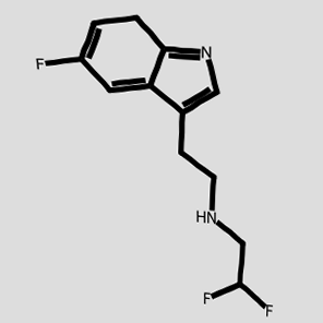 FC1=CCC2=NC=C(CCNCC(F)F)C2=C1